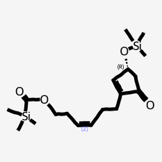 C[Si](C)(C)O[C@H]1C=C(CC/C=C\CCOC(=O)[Si](C)(C)C)C(=O)C1